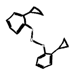 c1ccc(C2CC2)c(SOSc2ccccc2C2CC2)c1